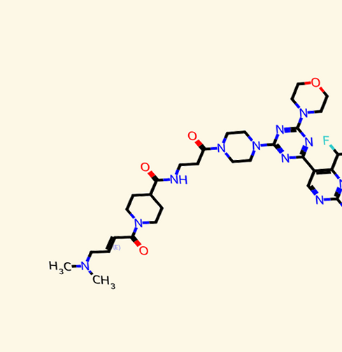 CN(C)C/C=C/C(=O)N1CCC(C(=O)NCCC(=O)N2CCN(c3nc(-c4cnc(N)nc4C(F)F)nc(N4CCOCC4)n3)CC2)CC1